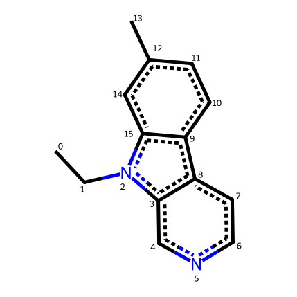 CCn1c2cnccc2c2ccc(C)cc21